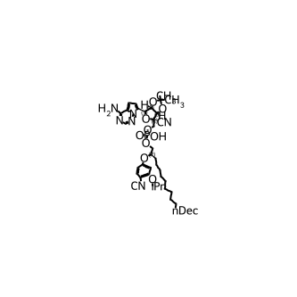 CCCCCCCCCCCCCCCCCCC[C@H](COP(=O)(O)OC[C@@]1(C#N)O[C@@H](c2ccc3c(N)ncnn23)[C@@H]2OC(C)(C)O[C@@H]21)Oc1ccc(C#N)c(OC(C)C)c1